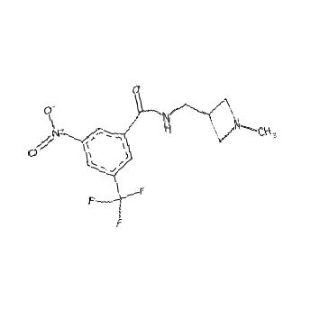 CN1CC(CNC(=O)c2cc([N+](=O)[O-])cc(C(F)(F)F)c2)C1